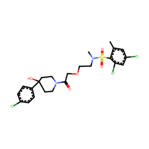 Cc1cc(Cl)cc(Cl)c1S(=O)(=O)N(C)CCOCC(=O)N1CCC(O)(c2ccc(Cl)cc2)CC1